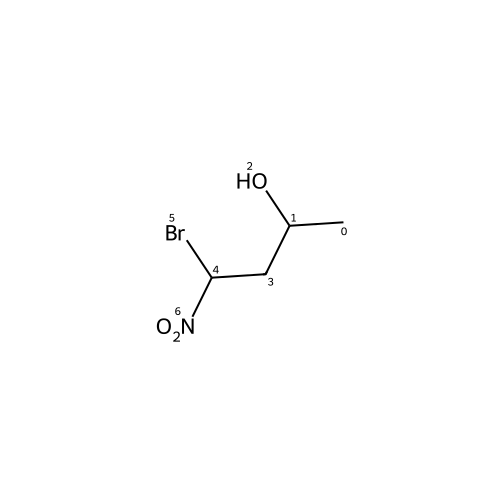 CC(O)CC(Br)[N+](=O)[O-]